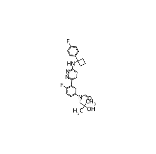 CC(C)(O)CN(C=O)c1ccc(F)c(-c2ccc(NC3(c4ccc(F)cc4)CCC3)nn2)c1